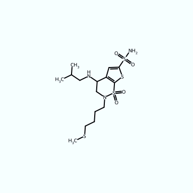 CSCCCCN1CC(NCC(C)C)c2cc(S(N)(=O)=O)sc2S1(=O)=O